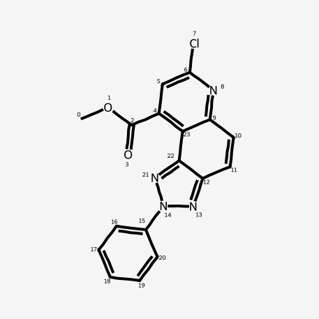 COC(=O)c1cc(Cl)nc2ccc3nn(-c4ccccc4)nc3c12